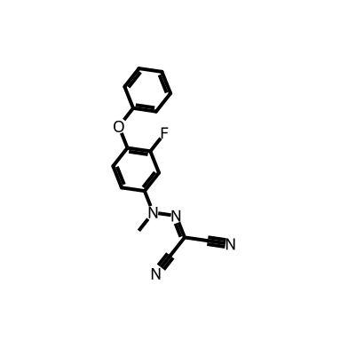 CN(N=C(C#N)C#N)c1ccc(Oc2ccccc2)c(F)c1